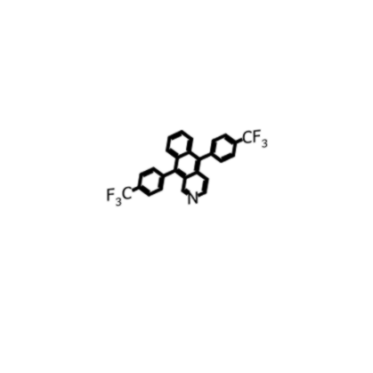 FC(F)(F)c1ccc(-c2c3ccccc3c(-c3ccc(C(F)(F)F)cc3)c3cnccc23)cc1